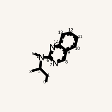 CCC(C)N(C)c1ncc2ccccc2n1